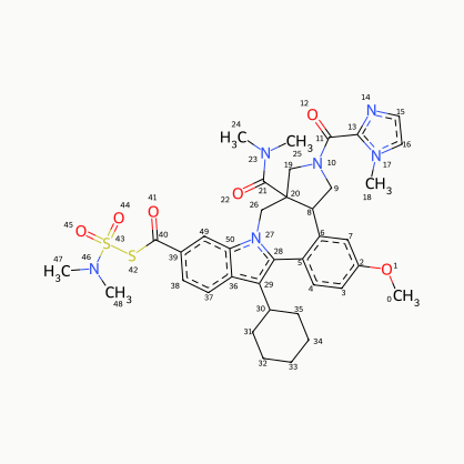 COc1ccc2c(c1)C1CN(C(=O)c3nccn3C)CC1(C(=O)N(C)C)Cn1c-2c(C2CCCCC2)c2ccc(C(=O)SS(=O)(=O)N(C)C)cc21